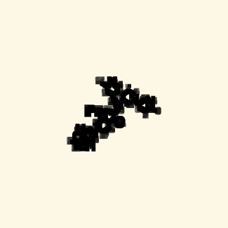 Cc1ccc(N2CCC[C@H](N(Cc3ccnc(C)c3)Cc3cn(C(C)C)c4cc(N5C[C@@H]6OC(C)(C)O[C@@H]6C5)ccc4c3=O)C2)cn1